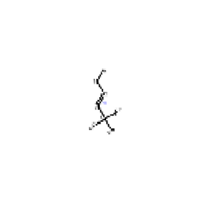 CC/C=C/C(F)(F)F